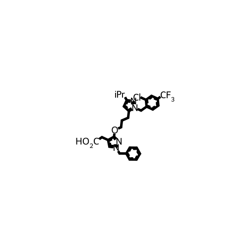 CC(C)c1cc(CCCOc2nn(Cc3ccccc3)cc2CC(=O)O)n(Cc2ccc(C(F)(F)F)cc2Cl)n1